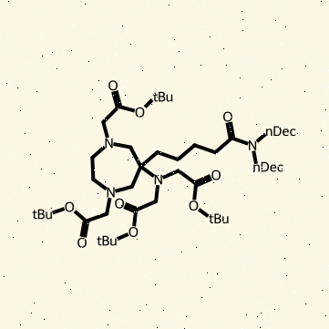 CCCCCCCCCCN(CCCCCCCCCC)C(=O)CCCCC1(N(CC(=O)OC(C)(C)C)CC(=O)OC(C)(C)C)CN(CC(=O)OC(C)(C)C)CCN(CC(=O)OC(C)(C)C)C1